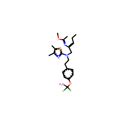 CC/C=C(CN(CCc1ccc(OC(F)(F)P)cc1)c1nc(C)c(C)s1)\N=C(/C)OC